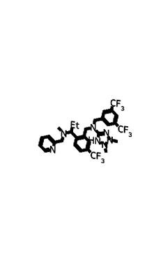 CCC(c1ccc(C(F)(F)F)cc1CN(Cc1cc(C(F)(F)F)cc(C(F)(F)F)c1)C1=NN(C)N(C)N1)N(C)Cc1ccccn1